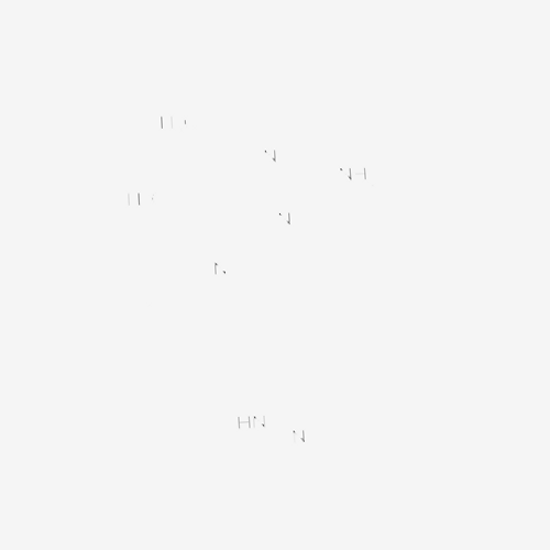 Cc1nc(N)nc(N2CCCC(c3ccn[nH]3)C2)c1C